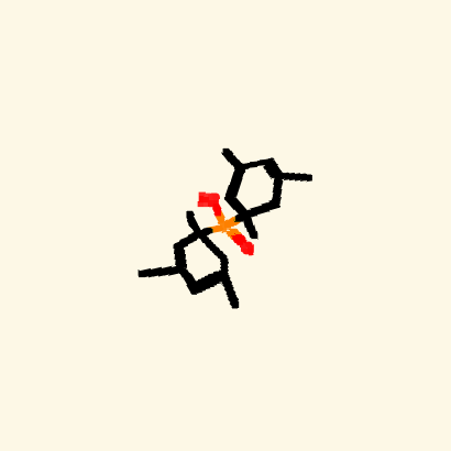 CC1=CC(C)(P(=O)(O)C2(C)C=C(C)C=C(C)C2)CC(C)=C1